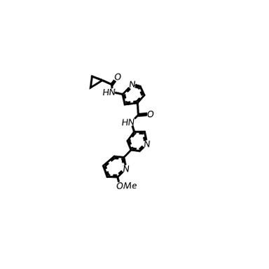 COc1cccc(-c2cncc(NC(=O)c3ccnc(NC(=O)C4CC4)c3)c2)n1